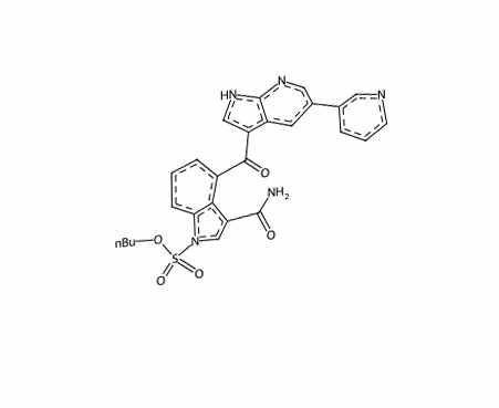 CCCCOS(=O)(=O)n1cc(C(N)=O)c2c(C(=O)c3c[nH]c4ncc(-c5cccnc5)cc34)cccc21